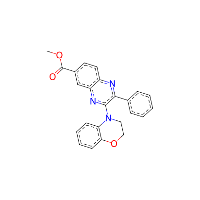 COC(=O)c1ccc2nc(-c3ccccc3)c(N3CCOc4ccccc43)nc2c1